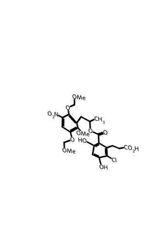 COCOc1cc([N+](=O)[O-])c(OCOC)c(CC(C)OC(=O)c2c(O)cc(O)c(Cl)c2CCC(=O)O)c1OC